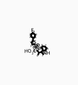 CC(c1c[nH]c2ccccc12)[C@@H](NS(=O)(=O)c1ccc(-c2ccc(F)cc2)s1)C(=O)O